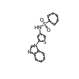 O=S(=O)(Nc1csc(-n2cnc3ccccc32)c1)c1ccccc1